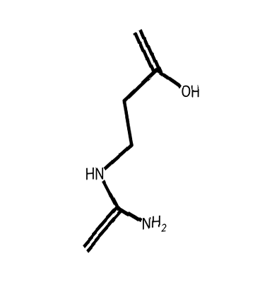 C=C(O)CCNC(=C)N